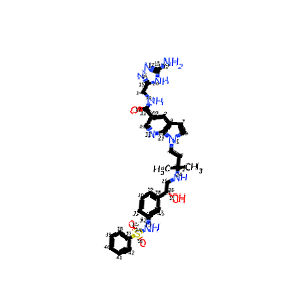 CC(C)(CCn1ccc2cc(C(=O)NCc3nnc(N)[nH]3)cnc21)NC[C@H](O)c1cccc(NS(=O)(=O)c2ccccc2)c1